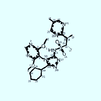 COc1ncnc(OC)c1-n1c(NS(=O)(=O)[C@@H](C)[C@H](C)c2ncc(C)cn2)nnc1C1CCCCC1